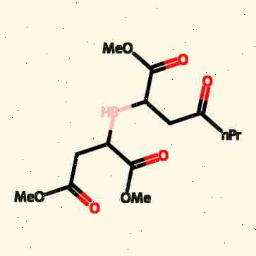 CCCC(=O)CC(BC(CC(=O)OC)C(=O)OC)C(=O)OC